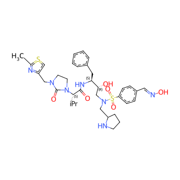 Cc1nc(CN2CCN([C@H](C(=O)N[C@@H](Cc3ccccc3)[C@H](O)CN(CC3CCCN3)S(=O)(=O)c3ccc(C=NO)cc3)C(C)C)C2=O)cs1